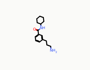 NCCCc1cccc(C(=O)NC2CCCCC2)c1